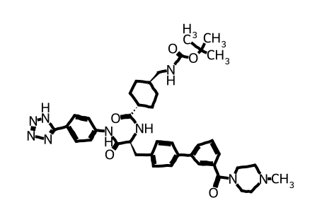 CN1CCN(C(=O)c2cccc(-c3ccc(C[C@H](NC(=O)[C@H]4CC[C@H](CNC(=O)OC(C)(C)C)CC4)C(=O)Nc4ccc(-c5nnn[nH]5)cc4)cc3)c2)CC1